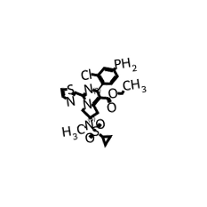 CCOC(=O)C1=C2C[C@H](N(C)S(=O)(=O)C3CC3)CN2C(c2nccs2)=N[C@H]1c1ccc(P)cc1Cl